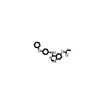 C=CC(=O)Oc1ccc2ncnc(Nc3ccc(Oc4ccccc4)cc3)c2c1